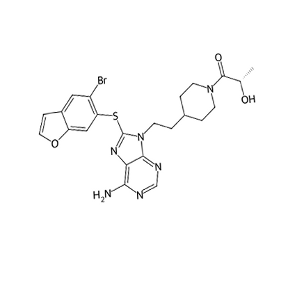 C[C@H](O)C(=O)N1CCC(CCn2c(Sc3cc4occc4cc3Br)nc3c(N)ncnc32)CC1